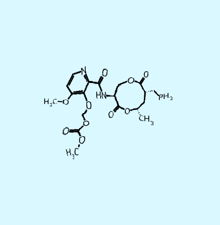 COC(=O)OCOc1c(OC)ccnc1C(=O)N[C@H]1COC(=O)[C@H](CP)C[C@H](C)OC1=O